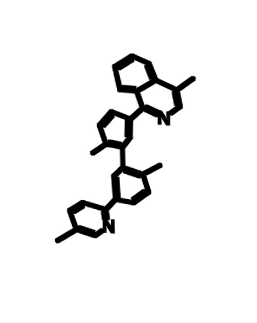 Cc1ccc(-c2ccc(C)c(-c3cc(-c4ncc(C)c5ccccc45)ccc3C)c2)nc1